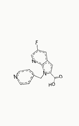 O=C(O)c1cc2cc(F)cnc2n1Cc1ccncc1